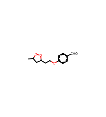 CC1CC(CCOc2ccc(C=O)cc2)OO1